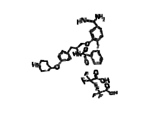 N=C(N)c1ccc(I)c(OC[C@H](Cc2ccc(OC3CCNCC3)cc2)NS(=O)(=O)c2ccccc2)c1.O=C(O)C(F)(F)F.O=C(O)C(F)(F)F